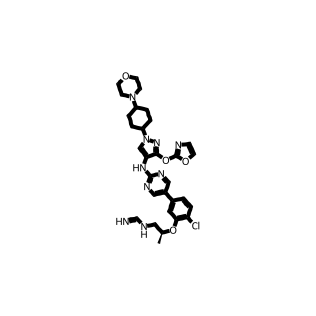 C[C@@H](CNC=N)Oc1cc(-c2cnc(Nc3cn(C4CCC(N5CCOCC5)CC4)nc3Oc3ncco3)nc2)ccc1Cl